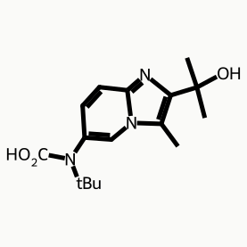 Cc1c(C(C)(C)O)nc2ccc(N(C(=O)O)C(C)(C)C)cn12